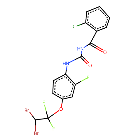 O=C(NC(=O)c1ccccc1Cl)Nc1ccc(OC(F)(F)C(Br)Br)cc1F